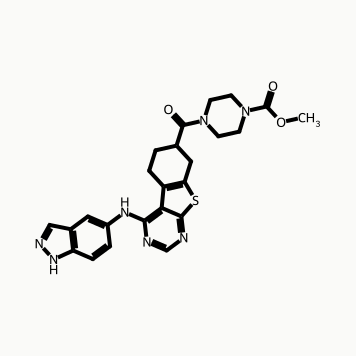 COC(=O)N1CCN(C(=O)C2CCc3c(sc4ncnc(Nc5ccc6[nH]ncc6c5)c34)C2)CC1